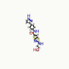 O=C(Nc1ccc(-c2cc[nH]n2)cc1)c1cc2sc(NCCO)nc2s1